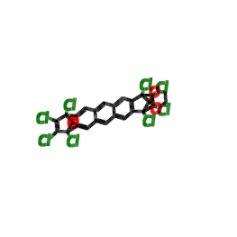 ClC1=C(Cl)C2(Cl)c3cc4cc5cc6c(cc5cc4cc3C1(Cl)C21OCCO1)C1(Cl)C(Cl)=C(Cl)C6(Cl)C12OCCO2